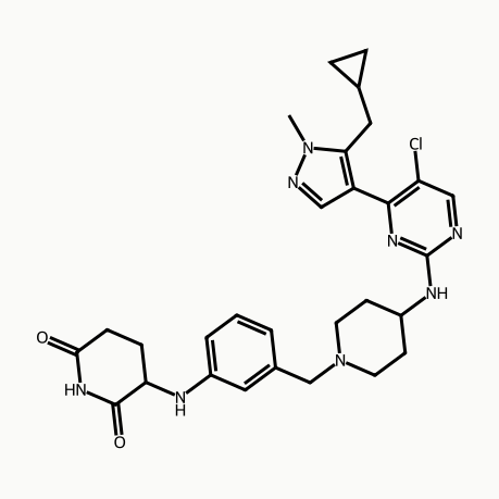 Cn1ncc(-c2nc(NC3CCN(Cc4cccc(NC5CCC(=O)NC5=O)c4)CC3)ncc2Cl)c1CC1CC1